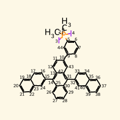 CP(C)(I)(I)c1cccc(-c2ccc3c(-c4ccc5ccccc5c4)c4ccccc4c(-c4ccc5ccccc5c4)c3c2)c1